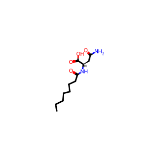 CCCCCCCC(=O)N[C@H](CC(N)=O)C(=O)O